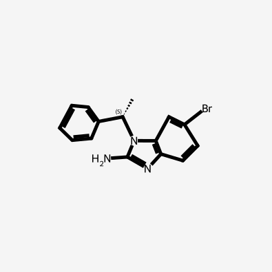 C[C@@H](c1ccccc1)n1c(N)nc2ccc(Br)cc21